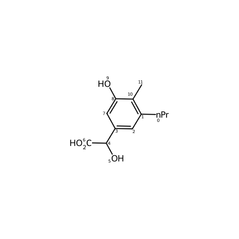 CCCc1cc(C(O)C(=O)O)cc(O)c1C